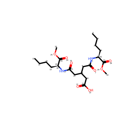 CCCC[C@H](NC(=O)CC(CC(=O)O)CC(=O)N[C@@H](CCCC)C(=O)OC)C(=O)OC